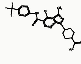 CC(=O)N1CCC(n2nc(C)c3c(Cl)c(C(=O)Nc4ccc(C(F)(F)F)cc4)cnc32)CC1